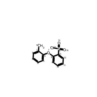 Cc1ccccc1Oc1ccccc1S(=O)(=O)Cl